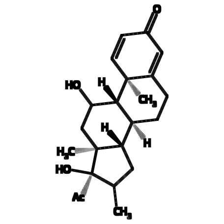 CC(=O)[C@@]1(O)C(C)C[C@H]2[C@@H]3CCC4=CC(=O)C=C[C@]4(C)[C@H]3C(O)C[C@@]21C